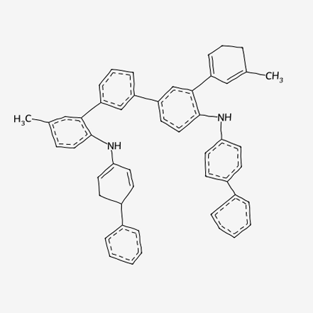 CC1=CC(c2cc(-c3cccc(-c4cc(C)ccc4NC4=CCC(c5ccccc5)C=C4)c3)ccc2Nc2ccc(-c3ccccc3)cc2)=CCC1